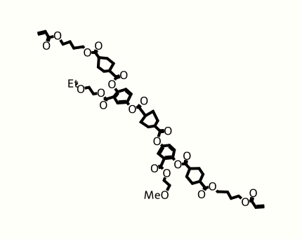 C=CC(=O)OCCCCOC(=O)C1CCC(C(=O)Oc2ccc(OC(=O)C3CCC(C(=O)Oc4ccc(OC(=O)C5CCC(C(=O)OCCCCOC(=O)C=C)CC5)c(C(=O)OCCOCC)c4)CC3)cc2C(=O)OCCOC)CC1